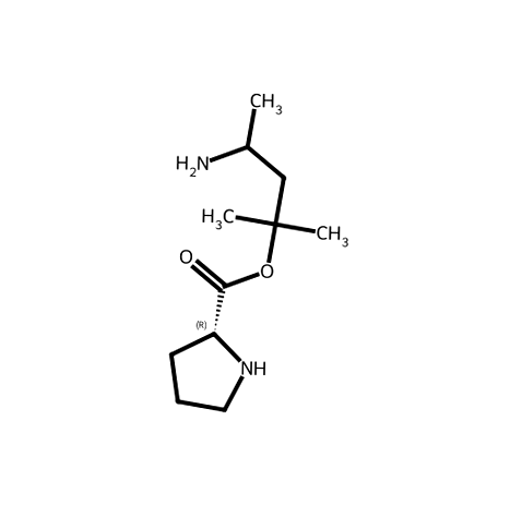 CC(N)CC(C)(C)OC(=O)[C@H]1CCCN1